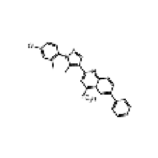 Cc1cc(Cl)ccc1-n1ncc(-c2cc(C(=O)O)c3cc(-c4ccccc4)ccc3n2)c1C